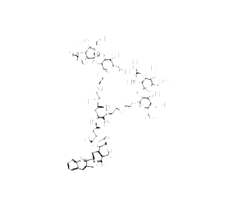 CC[C@@]1(OC(=O)CCC(=O)NC(CC(=O)NCCOCCO[C@H]2O[C@@H](CO)[C@@H](O)[C@H](O)[C@@H]2O[C@H]2O[C@H](CO)[C@@H](O)[C@H](OC(N)=O)[C@@H]2O)C(=O)NCCOCCO[C@H]2O[C@@H](CO)[C@@H](O)[C@H](O)[C@@H]2O[C@H]2O[C@H](CO)[C@@H](O)[C@H](OC(N)=O)[C@@H]2O)C(=O)OCc2c1cc1n(c2=O)Cc2cc3ccccc3nc2-1